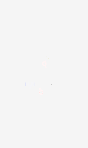 NC(=O)c1ccc2c(c1)OSCC=C2